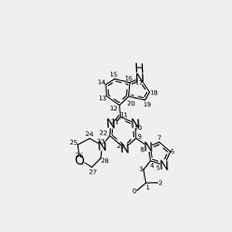 CC(C)Cc1nccn1-c1nc(-c2cccc3[nH]ccc23)nc(N2CCOCC2)n1